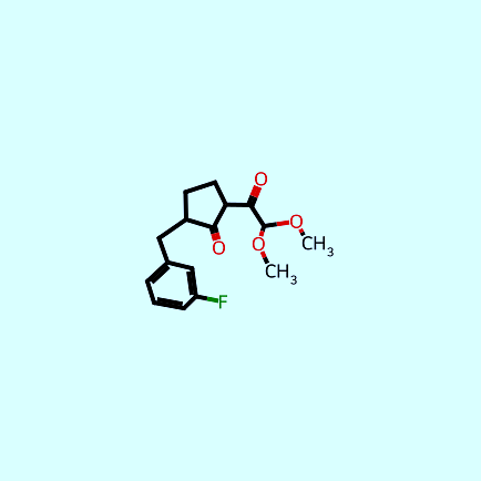 COC(OC)C(=O)C1CCC(Cc2cccc(F)c2)C1=O